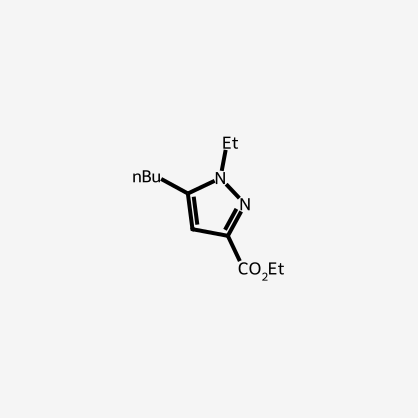 CCCCc1cc(C(=O)OCC)nn1CC